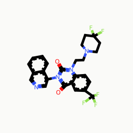 O=c1c2cc(C(F)(F)F)ccc2n(CCN2CCC(F)(F)CC2)c(=O)n1-c1cncc2ccccc12